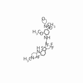 COc1cc(S(C)(=O)=NC2CCOCC2)ccc1NCC#Cc1sc2c(NC3CCN(C)C[C@H]3F)cccc2c1CC(F)(F)F